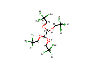 FC(F)(F)COB(OCC(F)(F)F)B(OCC(F)(F)F)OCC(F)(F)F